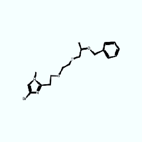 CC(COCCOCCc1nc(Br)cn1C)OCc1ccccc1